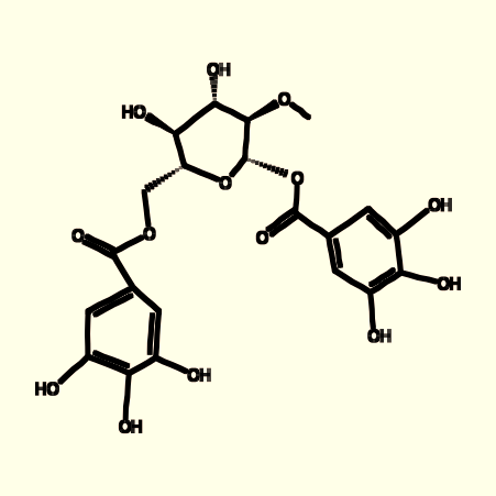 CO[C@H]1[C@H](OC(=O)c2cc(O)c(O)c(O)c2)O[C@H](COC(=O)c2cc(O)c(O)c(O)c2)[C@@H](O)[C@@H]1O